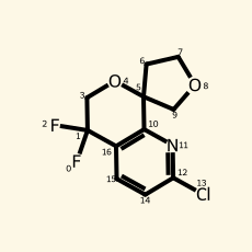 FC1(F)COC2(CCOC2)c2nc(Cl)ccc21